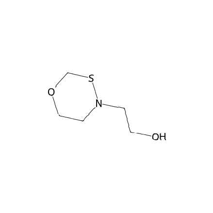 OCCN1CCOCS1